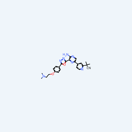 CN(C)CCOc1ccc(-c2nnc(-c3nc(-c4ccnc(C(C)(C)C#N)c4)cnc3N)o2)cc1